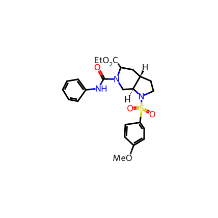 CCOC(=O)C1C[C@@H]2CCN(S(=O)(=O)c3ccc(OC)cc3)[C@H]2CN1C(=O)Nc1ccccc1